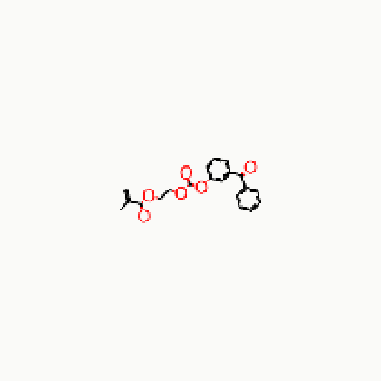 C=C(C)C(=O)OCCOC(=O)Oc1cccc(C(=O)c2ccccc2)c1